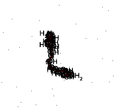 CC(C)(CCCCc1cccc(CCCCC(C)(C)CC(=O)CCNC(=O)CCNC(=O)C(O)C(C)(C)COP(=O)(O)OP(=O)(O)OCC2OC(n3cnc4c(N)ncnc43)C(O)C2OP(=O)(O)O)c1O)CC(=O)CCNC(=O)CCNC(=O)C(O)C(C)(C)COP(=O)(O)OP(=O)(O)OCC1OC(n2cnc3c(N)ncnc32)C(O)C1OP(=O)(O)O